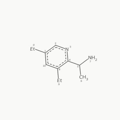 CCc1cnc(C(C)N)c(CC)c1